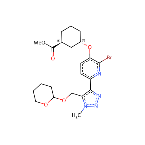 COC(=O)[C@H]1CCC[C@H](Oc2ccc(-c3nnn(C)c3COC3CCCCO3)nc2Br)C1